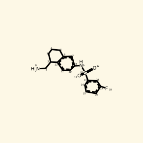 NCC1CCCc2cc(NS(=O)(=O)c3cccc(F)c3)ccc21